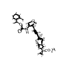 Cc1ccccc1C(C)OC(=O)Nc1conc1C#Cc1cc2cc(C3(C(=O)O)CC3)sc2s1